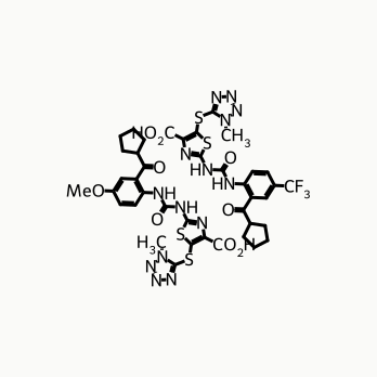 COc1ccc(NC(=O)Nc2nc(C(=O)O)c(Sc3nnnn3C)s2)c(C(=O)C2CCCC2)c1.Cn1nnnc1Sc1sc(NC(=O)Nc2ccc(C(F)(F)F)cc2C(=O)C2CCCC2)nc1C(=O)O